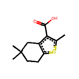 Cc1sc2c(c1C(=O)O)CC(C)(C)CC2